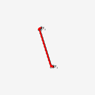 CC(CO)(COCCOCCOCCOCCOCCOCCOCCOCCOCCOCCOCCOCCOCCOCCOCCOCCOCCOCCOCCOCCOCCOCC(C)(CO)COCC(F)(F)C(F)(F)F)COCC(F)(F)C(F)(F)F